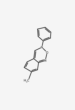 Cc1ccc2c(c1)=NON(c1ccccc1)C=2